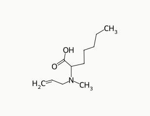 C=CCN(C)C(CCCCC)C(=O)O